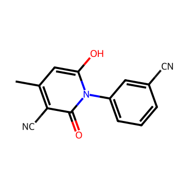 Cc1cc(O)n(-c2cccc(C#N)c2)c(=O)c1C#N